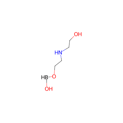 OBOCCNCCO